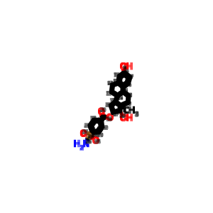 C[C@]12CCC3c4ccc(O)cc4CCC3C1C[C@@H](OC(=O)c1ccc(S(N)(=O)=O)cc1)[C@@H]2O